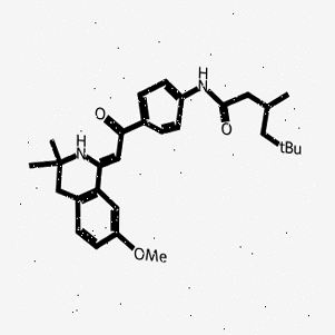 COc1ccc2c(c1)/C(=C/C(=O)c1ccc(NC(=O)CC(C)CC(C)(C)C)cc1)NC(C)(C)C2